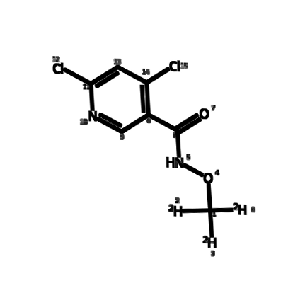 [2H]C([2H])([2H])ONC(=O)c1cnc(Cl)cc1Cl